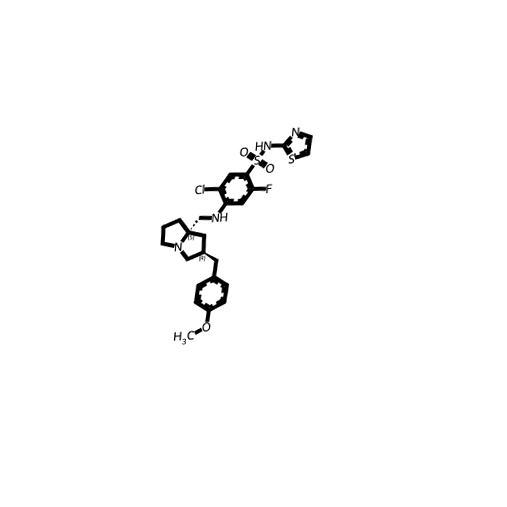 COc1ccc(C[C@H]2CN3CCC[C@@]3(CNc3cc(F)c(S(=O)(=O)Nc4nccs4)cc3Cl)C2)cc1